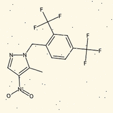 Cc1c([N+](=O)[O-])cnn1Cc1ccc(C(F)(F)F)cc1C(F)(F)F